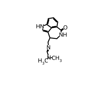 CN(C)C=NCC1CNC(=O)c2cccc3[nH]cc1c23